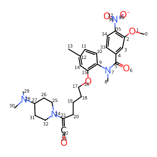 COc1cc(C(=O)N(C)c2ccc(C)cc2OCCCCC(=C=O)N2CCC(N(C)C)CC2)ccc1[N+](=O)[O-]